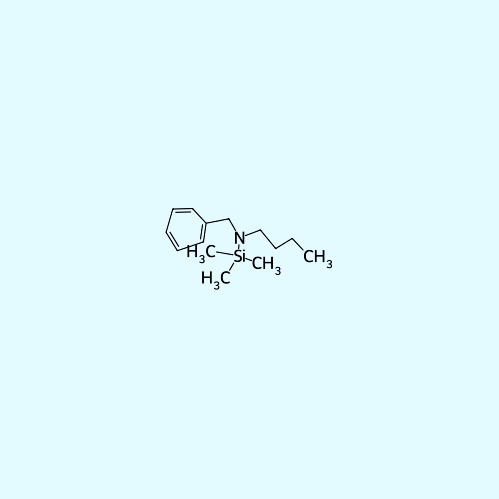 CCCCN(Cc1ccccc1)[Si](C)(C)C